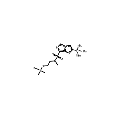 CCC[CH2][Sn]([CH2]CCC)([CH2]CCC)[c]1cn2cnc(S(=O)(=O)N(C)CCO[Si](C)(C)C(C)(C)C)c2s1